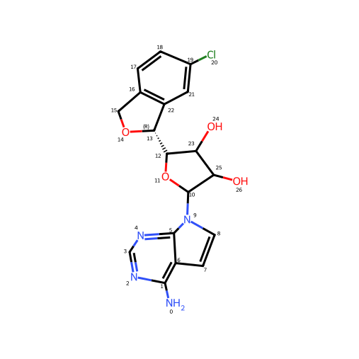 Nc1ncnc2c1ccn2C1OC([C@@H]2OCc3ccc(Cl)cc32)C(O)C1O